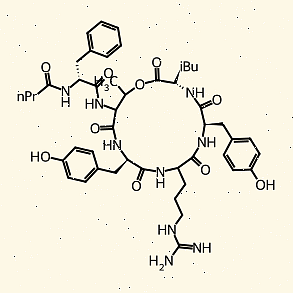 CCCC(=O)N[C@H](Cc1ccccc1)C(=O)NC1C(=O)N[C@H](Cc2ccc(O)cc2)C(=O)NC(CCCNC(=N)N)C(=O)N[C@H](Cc2ccc(O)cc2)C(=O)N[C@@H]([C@H](C)CC)C(=O)OC1C